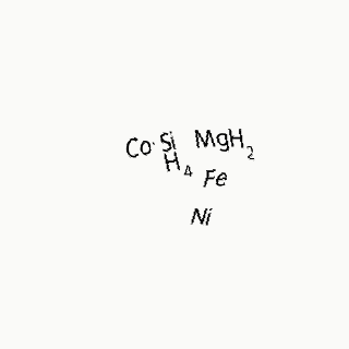 [Co].[Fe].[MgH2].[Ni].[SiH4]